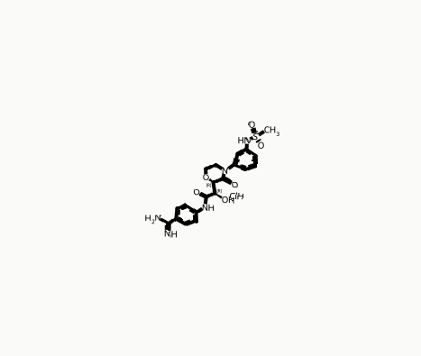 CS(=O)(=O)Nc1cccc(N2CCO[C@H]([C@@H](O)C(=O)Nc3ccc(C(=N)N)cc3)C2=O)c1.Cl